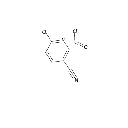 N#Cc1ccc(Cl)nc1.O=CCl